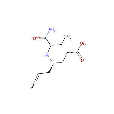 C=CC[C@H](CCC(=O)O)NC(CC)C(N)=O